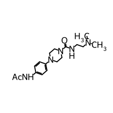 CC(=O)Nc1ccc(N2CCN(C(=O)NCCN(C)C)CC2)cc1